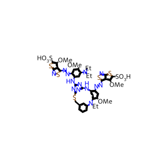 CCN(CC)c1cc(Nc2nc3nc(n2)SCc2cccc(c2)N(CC)c2cc(c(/N=N/c4snc5sc(S(=O)(=O)O)c(OC)c45)cc2OC)N3)c(/N=N/c2snc3sc(S(=O)(=O)O)c(OC)c23)cc1OC